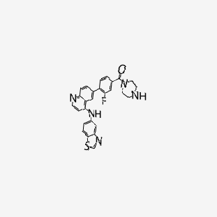 O=C(c1ccc(-c2ccc3nccc(Nc4ccc5scnc5c4)c3c2)c(F)c1)N1CCNCC1